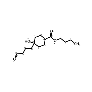 CCCCOC(=O)N1CCC(O)(CCCC=O)CC1